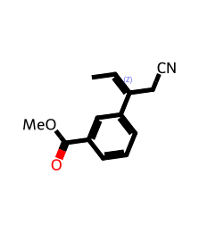 C/C=C(/CC#N)c1cccc(C(=O)OC)c1